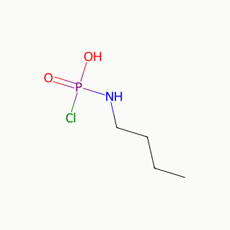 CCCCNP(=O)(O)Cl